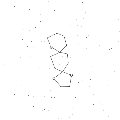 C1CCC2(CCC3(CC2)OCCO3)OC1